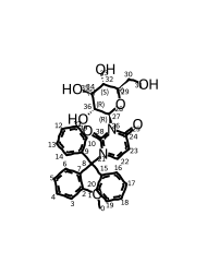 COc1ccccc1C(c1ccccc1)(c1ccccc1)n1ccc(=O)n([C@@H]2O[C@H](CO)[C@@H](O)[C@H](O)[C@H]2O)c1=O